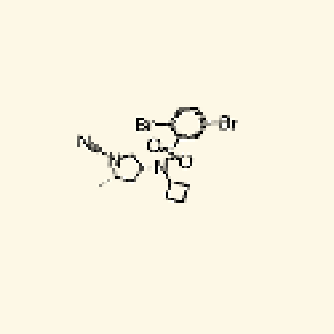 C[C@H]1C[C@@H](N(C2CCC2)S(=O)(=O)c2cc(Br)ccc2Br)CN1C#N